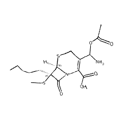 CCCC[C@@]1(SC)C(=O)N2C(C(=O)O)=C(C(N)OC(C)=O)CS[C@@H]21